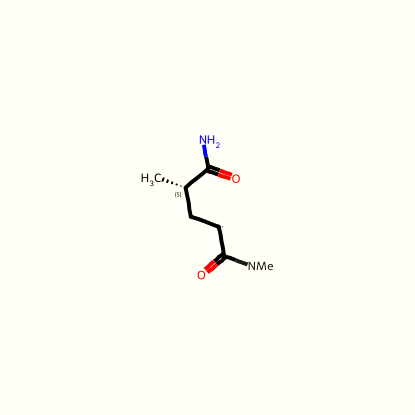 CNC(=O)[CH]C[C@H](C)C(N)=O